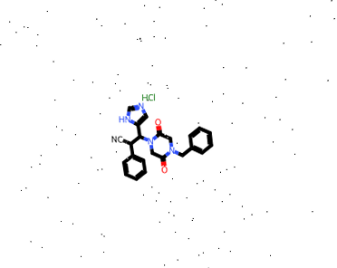 Cl.N#CC(c1ccccc1)C(c1cnc[nH]1)N1CC(=O)N(Cc2ccccc2)CC1=O